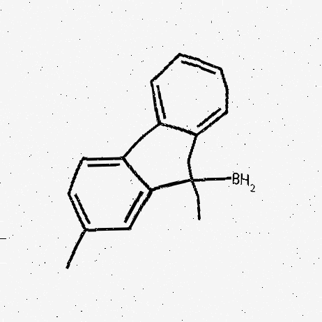 BC1(C)c2ccccc2-c2ccc(C)cc21